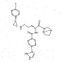 O=C(N[C@@H](CCCN[C@@H]1C[C@H]1c1ccc(F)cc1)C(=O)N1CCN2CCC1CC2)c1ccc(N2C=CNN2)cc1